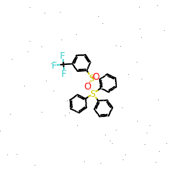 O=S(OS(c1ccccc1)(c1ccccc1)c1ccccc1)c1cccc(C(F)(F)F)c1